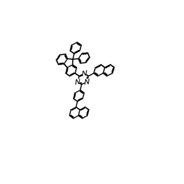 c1ccc(C2(c3ccccc3)c3ccccc3-c3ccc(-c4nc(-c5ccc(-c6cccc7ccccc67)cc5)nc(-c5ccc6ccccc6c5)n4)cc32)cc1